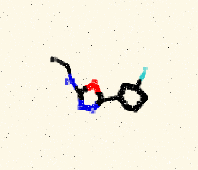 CC(C)CNc1nnc(-c2cccc(F)c2)o1